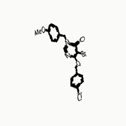 COc1ccc(Cn2cnc(OCc3ccc(Cl)cc3)c(Br)c2=O)cc1